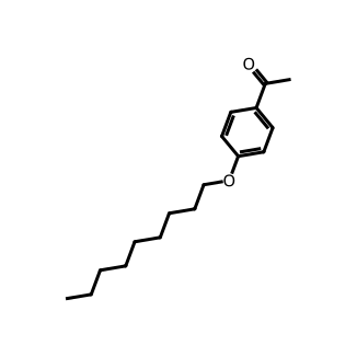 CCCCCCCCCOc1ccc(C(C)=O)cc1